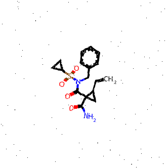 C=CC1CC1(C(N)=O)C(=O)N(Cc1ccccc1)S(=O)(=O)C1CC1